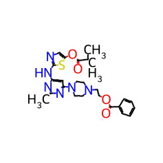 Cc1nc(Nc2ncc(OC(=O)C(C)C)s2)cc(N2CCN(CCOC(=O)c3ccccc3)CC2)n1